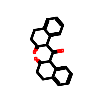 O=C1CCc2ccccc2C1C(=O)C1C(=O)CCc2ccccc21